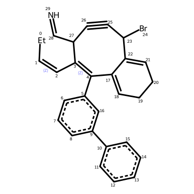 CC/C=C\C1=C(/c2cccc(-c3ccccc3)c2)C2=CCCC=C2C(Br)C#CC1C=N